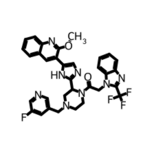 COc1nc2ccccc2cc1-c1cnc(C2CN(Cc3cncc(F)c3)CCN2C(=O)Cn2c(C(F)(F)F)nc3ccccc32)[nH]1